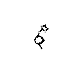 Cc1ccc(Oc2nccs2)cc1